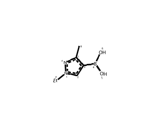 CCn1cc(B(O)O)c(C)n1